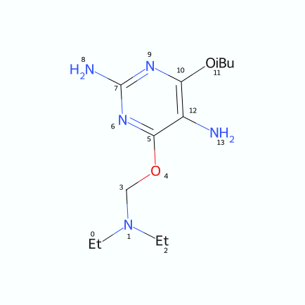 CCN(CC)COc1nc(N)nc(OCC(C)C)c1N